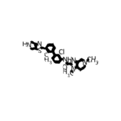 Cc1c(-c2nc3c(s2)CNC3)cccc1-c1cccc(NC(=O)c2nc3c(n2C)CCN(C)C3)c1Cl